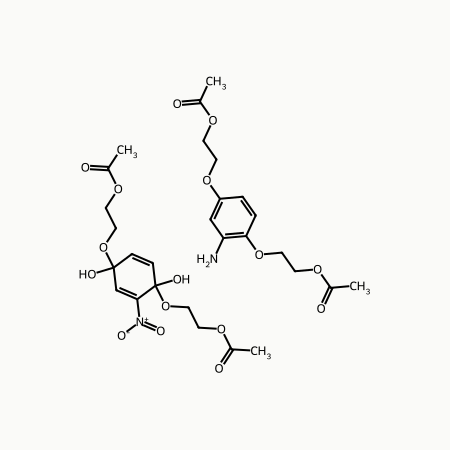 CC(=O)OCCOC1(O)C=CC(O)(OCCOC(C)=O)C([N+](=O)[O-])=C1.CC(=O)OCCOc1ccc(OCCOC(C)=O)c(N)c1